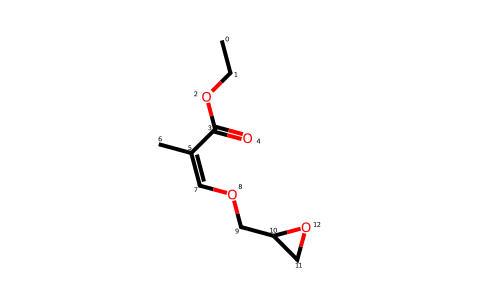 CCOC(=O)C(C)=COCC1CO1